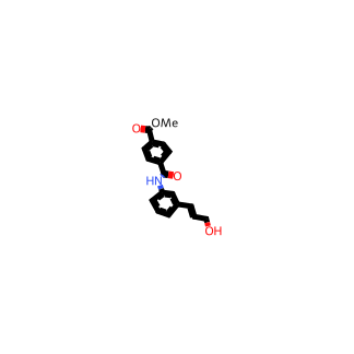 COC(=O)c1ccc(C(=O)Nc2cccc(/C=C/CO)c2)cc1